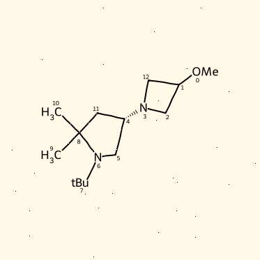 COC1CN([C@@H]2CN(C(C)(C)C)C(C)(C)C2)C1